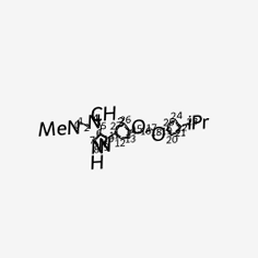 CNCCN(C)Cc1c[nH]nc1-c1ccc(OCCOc2ccc(C(C)C)cc2)cc1